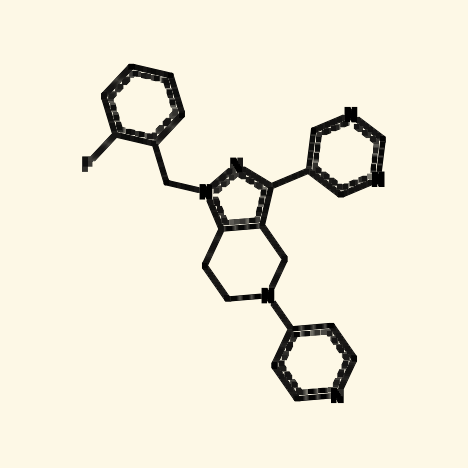 Fc1ccccc1Cn1nc(-c2cncnc2)c2c1CCN(c1ccncc1)C2